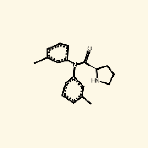 Cc1cccc(N(C(=O)[C@H]2CCCN2)c2cccc(C)c2)c1